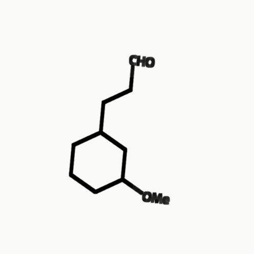 COC1CCCC(CCC=O)C1